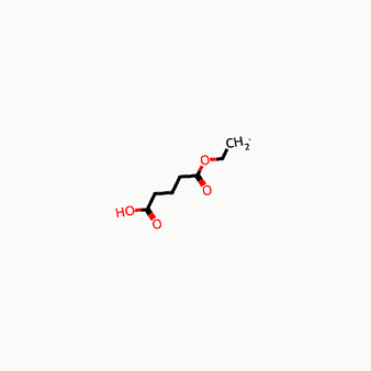 [CH2]COC(=O)CCCC(=O)O